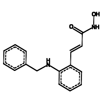 O=C(C=Cc1ccccc1NCc1ccccc1)NO